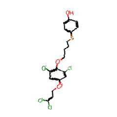 Oc1ccc(SCCCCOc2c(Cl)cc(OCC=C(Cl)Cl)cc2Cl)cc1